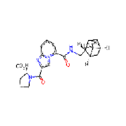 CC1(C)[C@H]2CC[C@@H](CNC(=O)c3cccc4nc(C(=O)N5CCC[C@H]5C(=O)O)cn34)[C@@H]1C2